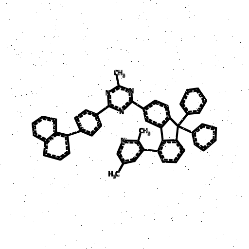 Cc1cnc(C)c(-c2cccc3c2-c2cc(-c4nc(C)nc(-c5ccc(-c6cccc7ccccc67)cc5)n4)ccc2C3(c2ccccc2)c2ccccc2)c1